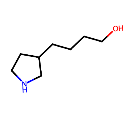 OCCCCC1CCNC1